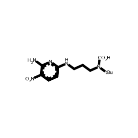 CC(C)(C)N(CCCNc1ccc([N+](=O)[O-])c(N)n1)C(=O)O